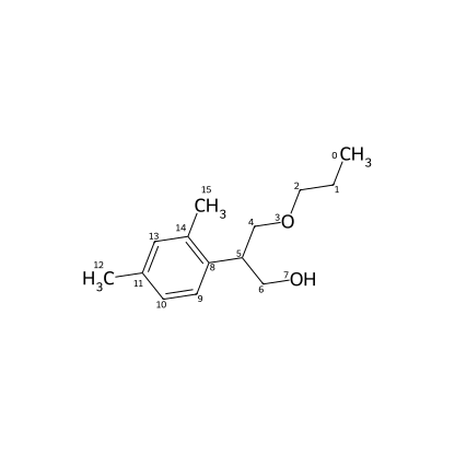 CCCOCC(CO)c1ccc(C)cc1C